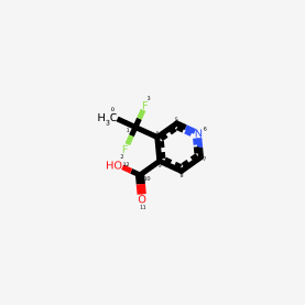 CC(F)(F)c1cnccc1C(=O)O